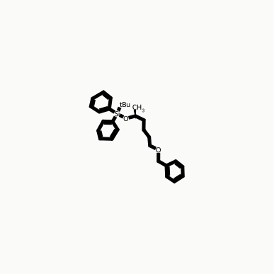 C[C@@H](CCCCOCc1ccccc1)O[Si](c1ccccc1)(c1ccccc1)C(C)(C)C